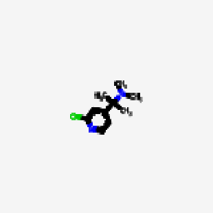 CN(C)C(C)(C)c1ccnc(Cl)c1